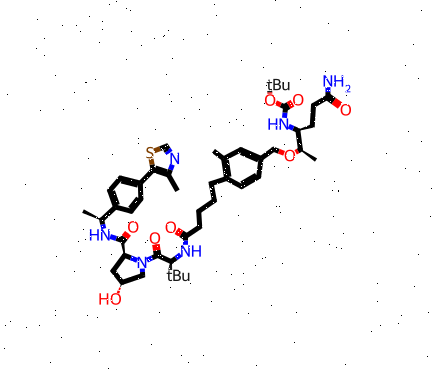 Cc1cc(CO[C@H](C)[C@H](CCC(N)=O)NC(=O)OC(C)(C)C)ccc1CCCCC(=O)N[C@H](C(=O)N1C[C@H](O)C[C@H]1C(=O)N[C@@H](C)c1ccc(-c2scnc2C)cc1)C(C)(C)C